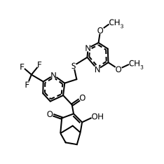 COc1cc(OC)nc(SCc2nc(C(F)(F)F)ccc2C(=O)C2=C(O)C3CCC(C3)C2=O)n1